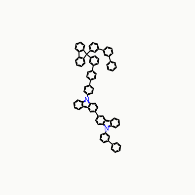 c1ccc(-c2cccc(-c3cccc(C4(c5cccc(-c6ccc(-c7ccc(-n8c9ccccc9c9cc(-c%10ccc%11c(c%10)c%10ccccc%10n%11-c%10cccc(-c%11ccccc%11)c%10)ccc98)cc7)cc6)c5)c5ccccc5-c5ccccc54)c3)c2)cc1